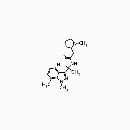 Cc1cccc2c(C(C)(C)NC(=O)CC3CCCN3C)nn(C)c12